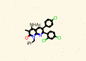 CC(=O)Nc1c(C)c(=O)n(CC(C)C)c2nc(-c3ccc(Cl)cc3Cl)c(-c3ccc(Cl)cc3)cc12